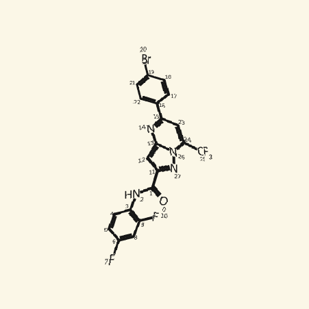 O=C(Nc1ccc(F)cc1F)c1cc2nc(-c3ccc(Br)cc3)cc(C(F)(F)F)n2n1